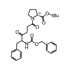 CC(C)(C)OC(=O)[C@@H]1CCCN1C(=O)CCC(=O)C(Cc1ccccc1)NC(=O)OCc1ccccc1